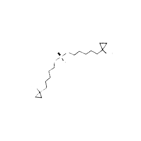 O=C(O)C1(CCCCCOP(=O)(O)OCCCCCC2(C(=O)O)CC2)CC1